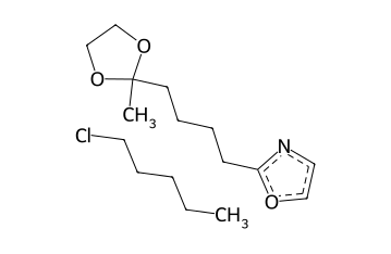 CC1(CCCCc2ncco2)OCCO1.CCCCCCl